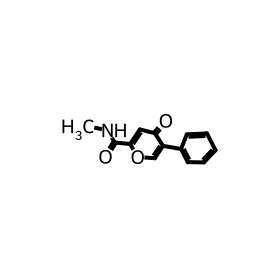 CNC(=O)c1cc(=O)c(-c2ccccc2)co1